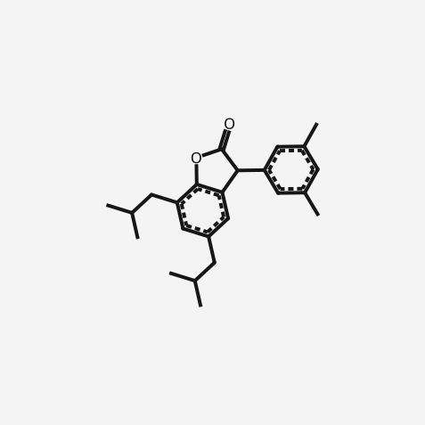 Cc1cc(C)cc(C2C(=O)Oc3c(CC(C)C)cc(CC(C)C)cc32)c1